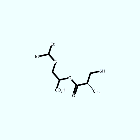 CCC(CC)SCC(OC(=O)[C@@H](C)CS)C(=O)O